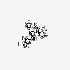 C[C@@H]1C(=O)N(c2cccnc2)c2cnc(Nc3cc(F)c4[nH]ncc4c3)nc2N1C1CCC(F)(F)CC1